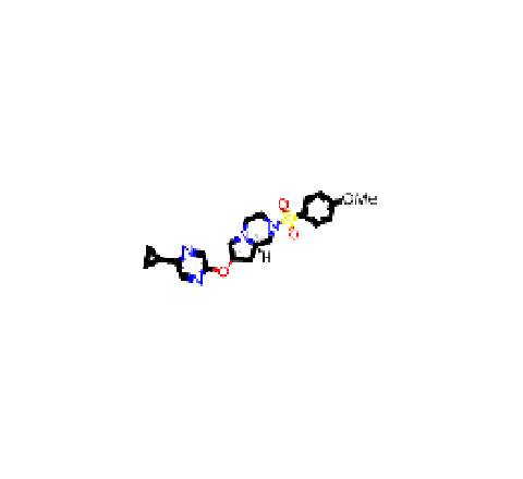 COc1ccc(S(=O)(=O)N2CCN3C[C@H](Oc4cnc(C5CC5)cn4)C[C@H]3C2)cc1